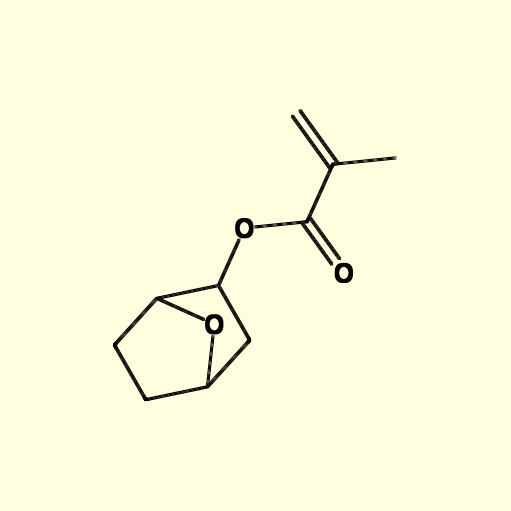 C=C(C)C(=O)OC1CC2CCC1O2